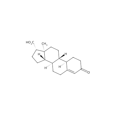 C[C@]12CC[C@H]3[C@@H](CCC4=CC(=O)CC[C@@H]43)[C@@H]1CC[C@@H]2C(=O)O